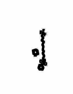 O=S(=O)(OCCCCCCCCCCCC(F)(F)F)[n+]1ccccc1.c1ccncc1